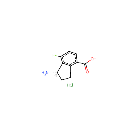 Cl.N[C@H]1CCc2c(C(=O)O)ccc(F)c21